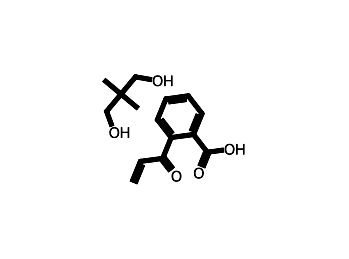 C=CC(=O)c1ccccc1C(=O)O.CC(C)(CO)CO